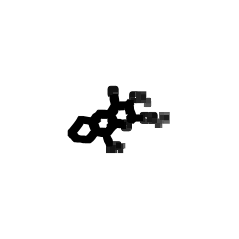 CCCc1c2c(cc3c(=O)c(C)c(C(=O)O)oc13)CCCC2